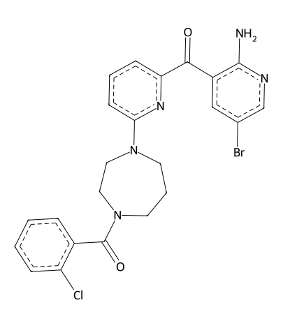 Nc1ncc(Br)cc1C(=O)c1cccc(N2CCCN(C(=O)c3ccccc3Cl)CC2)n1